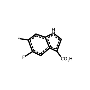 O=C(O)c1c[nH]c2cc(F)c(F)cc12